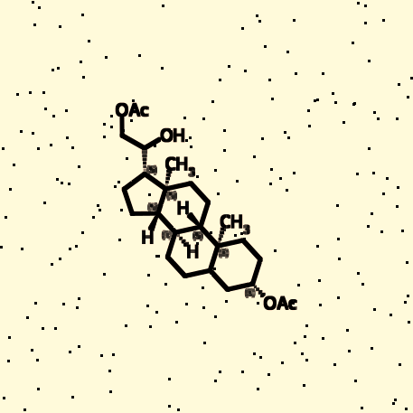 CC(=O)OCC(O)[C@H]1CC[C@H]2[C@@H]3CCC4C[C@@H](OC(C)=O)CC[C@]4(C)[C@H]3CC[C@]12C